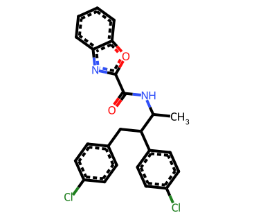 CC(NC(=O)c1nc2ccccc2o1)C(Cc1ccc(Cl)cc1)c1ccc(Cl)cc1